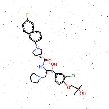 CC(C)(O)COc1ccc([C@@H](O)[C@@H](CN2CCCC2)NC(=O)[C@@H]2CCN(c3ccc4cc(F)ccc4c3)C2)cc1Cl